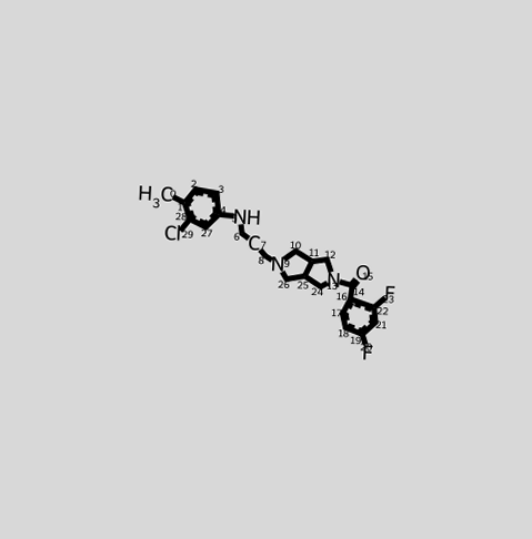 Cc1ccc(NCCCN2CC3CN(C(=O)c4ccc(F)cc4F)CC3C2)cc1Cl